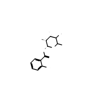 CC(=O)Oc1ccccc1C(=O)O[C@@H]1OC(C(=O)O)C(O)[C@@H](O)[C@@H]1O